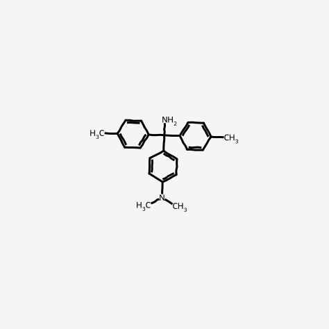 Cc1ccc(C(N)(c2ccc(C)cc2)c2ccc(N(C)C)cc2)cc1